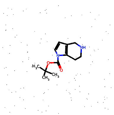 CC(C)(C)OC(=O)n1ccc2c1CCNC2